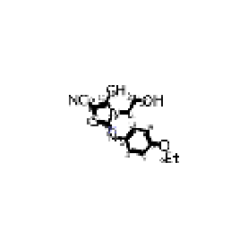 CCOc1ccc(/N=c2/sc(C#N)c(C)n2CCO)cc1